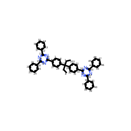 CCC(CC)(c1ccc(-c2nc(-c3ccccc3)nc(-c3ccccc3)n2)cc1)c1ccc(-c2nc(-c3ccccc3)nc(-c3ccccc3)n2)cc1